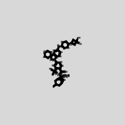 CC1CC2CC(C1)C(NC(=O)c1cnc(N3CC4(CCOCC4)c4cc(O[C@H]5CC[C@H](N6CC(F)(F)C6)CC5)ccc43)nc1C(C)(F)F)(C(=O)O)C2